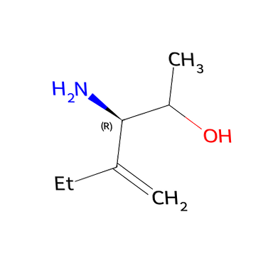 C=C(CC)[C@@H](N)C(C)O